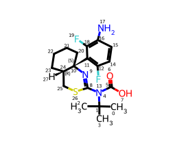 CC(C)(C)N(C(=O)O)C1=N[C@@]2(c3c(F)ccc(N)c3F)CCCC[C@H]2CS1